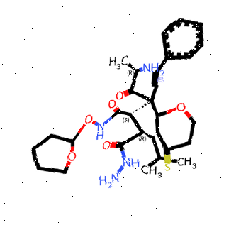 CC(C)C[C@@H](C(=O)NN)[C@H](C(=O)NOC1CCCCO1)C(/C=C/c1ccccc1)(C(=O)[C@@H](C)N)C1CC(=S)CCO1